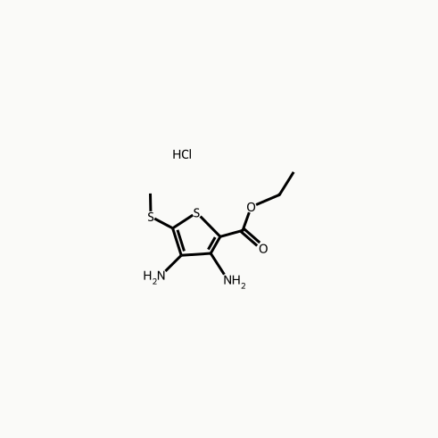 CCOC(=O)c1sc(SC)c(N)c1N.Cl